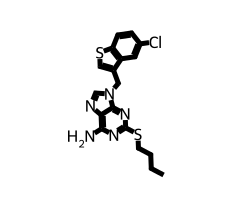 CCCCSc1nc(N)c2ncn(Cc3csc4ccc(Cl)cc34)c2n1